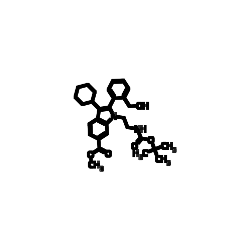 COC(=O)c1ccc2c(C3CCCCC3)c(-c3ccccc3CO)n(CCNC(=O)OC(C)(C)C)c2c1